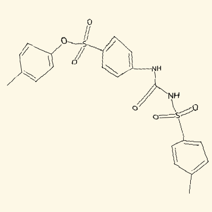 Cc1ccc(OS(=O)(=O)c2ccc(NC(=O)NS(=O)(=O)c3ccc(C)cc3)cc2)cc1